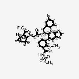 Cn1nc(NS(C)(=O)=O)c2cccc(-c3cc4scnc4nc3C(Cc3cc(F)cc(F)c3)NC(=O)Cn3nc(C(F)(F)F)c4c3C(F)(F)C3C[C@H]43)c21